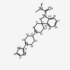 CN(C)C(=O)N1CC2(CCN(C3CCN(c4nccs4)CC3)CC2)c2ccccc21